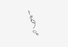 CC[C@H]1CC[C@H](CCc2ccc(OC(F)F)cc2)CC1